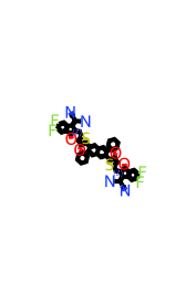 N#CC(C#N)=C1/C(=C/c2cc3c(s2)C2=CC4C=C5C(=CC4C=C2C2(CCCCC2)O3)c2sc(/C=C3\C(=O)c4cc(F)c(F)cc4C3=C(C#N)C#N)cc2OC52CCCCC2)C(=O)c2cc(F)c(F)cc21